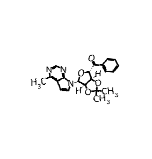 Cc1ncnc2c1ccn2[C@@H]1O[C@H](C(=O)c2ccccc2)[C@H]2OC(C)(C)O[C@H]21